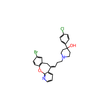 OC1(c2ccc(Cl)cc2)CCN(CCC=C2Cc3cc(Br)ccc3Oc3ncccc32)CC1